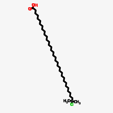 C[Si](C)(Cl)CCCCCCCCCCCCCCCCCCCCCCCCCCCCCCCCCCCC(=O)O